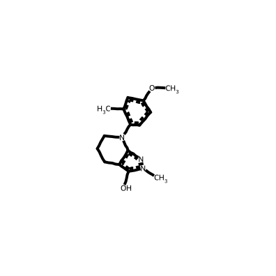 COc1ccc(N2CCCc3c2nn(C)c3O)c(C)c1